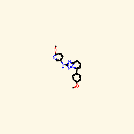 COc1ccc(-c2cccc3nc(Nc4ccc(OC)nc4)nn23)cc1